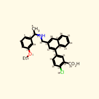 CCOc1cccc(C(C)NCc2cc(-c3ccc(Cl)c(C(=O)O)c3)c3ccccc3c2)c1